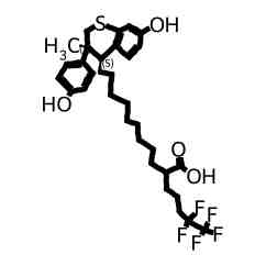 C[C@]1(c2ccc(O)cc2)CSc2cc(O)ccc2[C@H]1CCCCCCCCCC(CCCC(F)(F)C(F)(F)F)C(=O)O